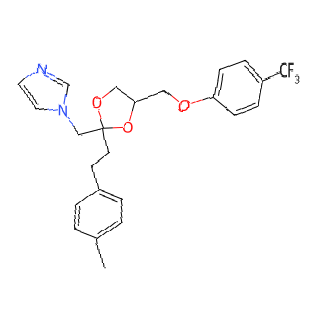 Cc1ccc(CCC2(Cn3ccnc3)OCC(COc3ccc(C(F)(F)F)cc3)O2)cc1